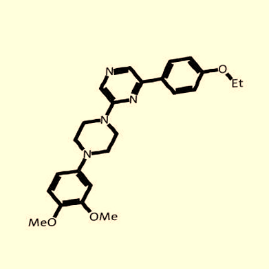 CCOc1ccc(-c2cncc(N3CCN(c4ccc(OC)c(OC)c4)CC3)n2)cc1